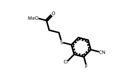 COC(=O)CCSc1ccc(C#N)c(F)c1Cl